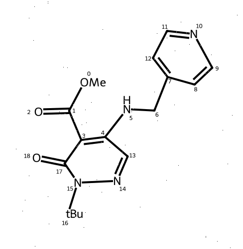 COC(=O)c1c(NCc2ccncc2)cnn(C(C)(C)C)c1=O